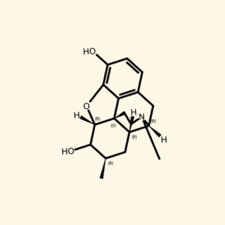 C[C@@H]1C[C@H]2[C@H]3Cc4ccc(O)c5c4[C@@]2(CCN3C)[C@@H](O5)C1O